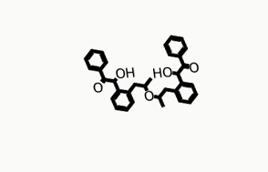 CC(Cc1ccccc1C(O)C(=O)c1ccccc1)OC(C)Cc1ccccc1C(O)C(=O)c1ccccc1